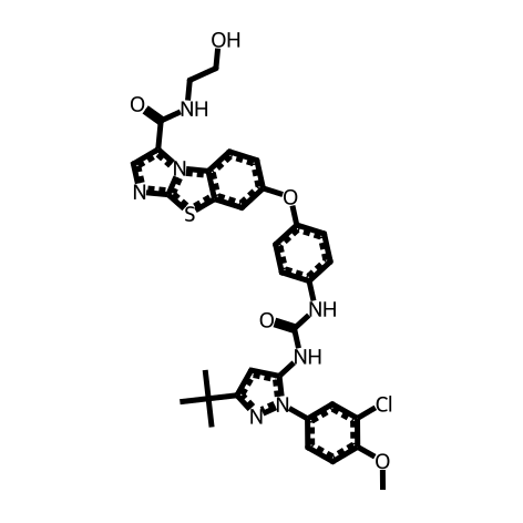 COc1ccc(-n2nc(C(C)(C)C)cc2NC(=O)Nc2ccc(Oc3ccc4c(c3)sc3ncc(C(=O)NCCO)n34)cc2)cc1Cl